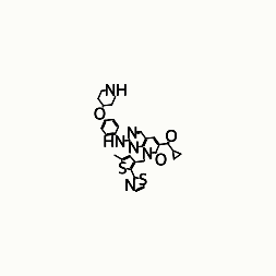 Cc1cc(Cn2c(=O)c(C(=O)C3CC3)cc3cnc(Nc4ccc(OC5CCNCC5)cc4)nc32)c(-c2nccs2)s1